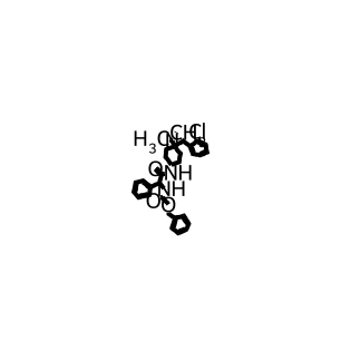 CN(C)C1(Cc2ccccc2Cl)CCC(NC(=O)C(NC(=O)OCc2ccccc2)c2ccccc2)CC1